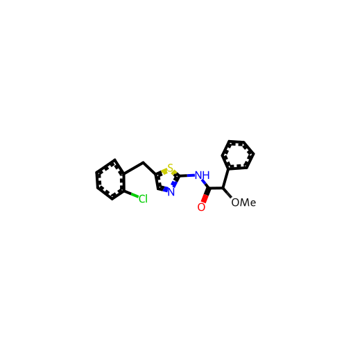 COC(C(=O)Nc1ncc(Cc2ccccc2Cl)s1)c1ccccc1